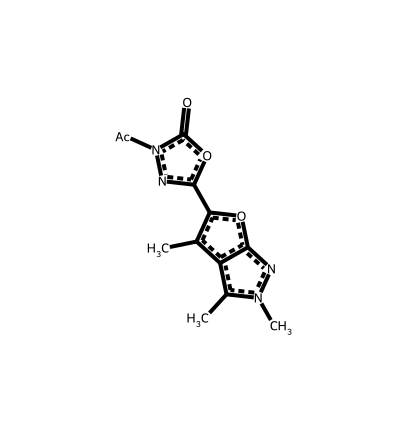 CC(=O)n1nc(-c2oc3nn(C)c(C)c3c2C)oc1=O